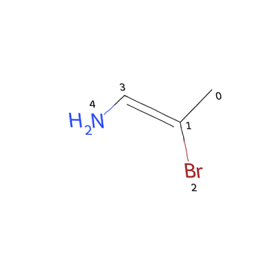 CC(Br)=CN